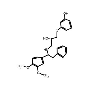 COc1ccc(C(Cc2ccccc2)NC[C@H](O)COc2cccc(O)c2)cc1OC